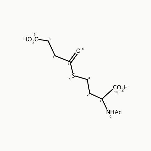 CC(=O)NC(CCSC(=O)CCC(=O)O)C(=O)O